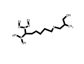 CCCP(CCC)C(CCCCCSCC(C)CO)P(OCC)OCC